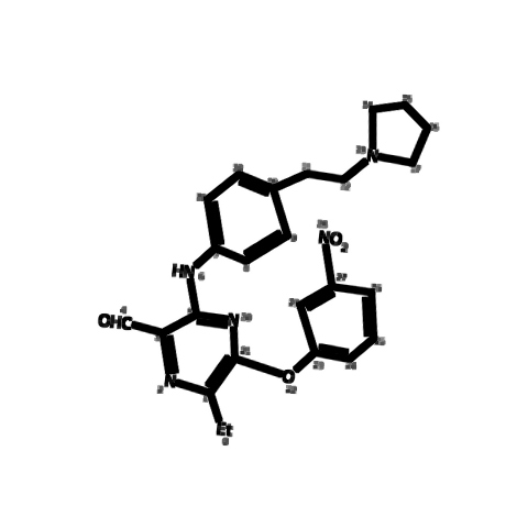 CCc1nc(C=O)c(Nc2ccc(CCN3CCCC3)cc2)nc1Oc1cccc([N+](=O)[O-])c1